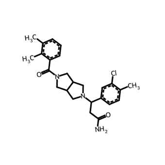 Cc1ccc(C(CC(N)=O)N2CC3CN(C(=O)c4cccc(C)c4C)CC3C2)cc1Cl